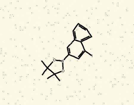 CC1(C)OB(c2cc(I)c3ccccc3c2)OC1(C)C